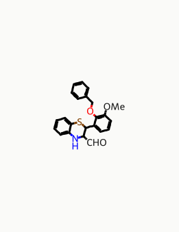 COc1cccc(C2Sc3ccccc3NC2C=O)c1OCc1ccccc1